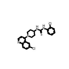 S=C(Nc1ccccc1Cl)NC1CCN(c2ccnc3ccc(Cl)cc23)CC1